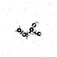 CN1CCN(c2ccc(C(=O)Nc3n[nH]c4c3CN(S(=O)(=O)c3cc(F)cc(F)c3)CC4)c(NC(=O)Cc3ccncc3)c2)CC1